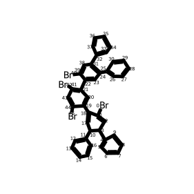 BrC1=CC(c2ccccc2)C(c2ccccc2)C=C1c1cc(-c2cc(-c3ccccc3)c(-c3ccccc3)cc2Br)c(Br)cc1Br